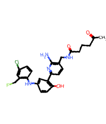 CC(=O)CCCC(=O)NCc1ccc(-c2cc(Nc3ccc(Cl)cc3CF)ccc2O)nc1N